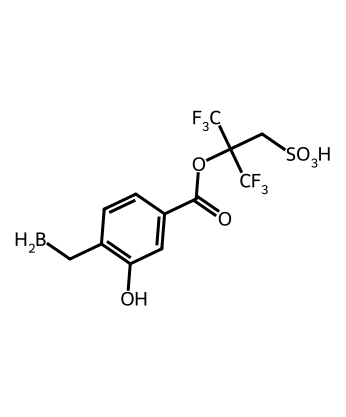 BCc1ccc(C(=O)OC(CS(=O)(=O)O)(C(F)(F)F)C(F)(F)F)cc1O